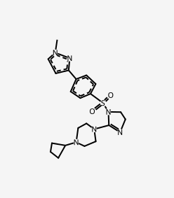 Cn1ccc(-c2ccc(S(=O)(=O)N3CCN=C3N3CCN(C4CCC4)CC3)cc2)n1